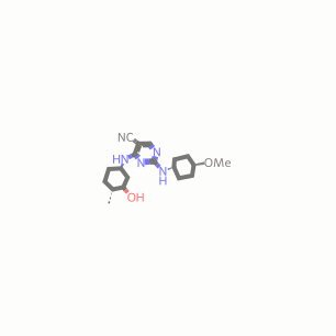 CO[C@H]1CC[C@H](Nc2ncc(C#N)c(N[C@@H]3CC[C@@H](C)C(O)C3)n2)CC1